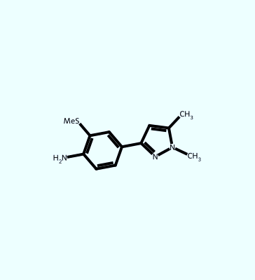 CSc1cc(-c2cc(C)n(C)n2)ccc1N